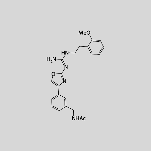 COc1ccccc1CCNC(N)=Nc1nc(-c2cccc(CNC(C)=O)c2)co1